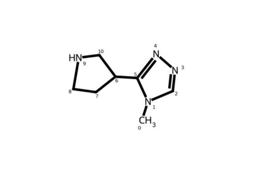 Cn1cnnc1C1CCNC1